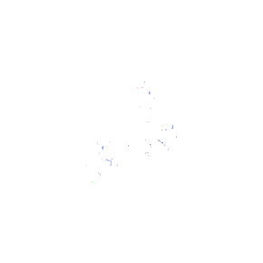 CC(=O)Nc1cccc(-c2nccnc2N2CCC(c3cnc4ccc(Cl)cc4n3)CC2=O)c1